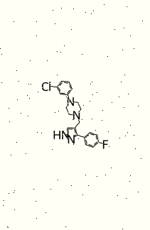 Fc1ccc(-c2n[nH]cc2CN2CCN(c3cccc(Cl)c3)CC2)cc1